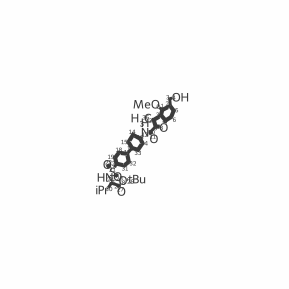 COc1c(CO)ccc2oc(C(=O)Nc3ccc(-c4ccc(S(=O)(=O)NC(C(=O)OC(C)(C)C)C(C)C)cc4)cc3)c(C)c12